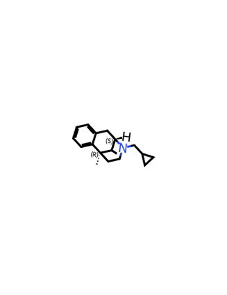 CC1[C@@H]2Cc3ccccc3[C@]1(C)CCN2CC1CC1